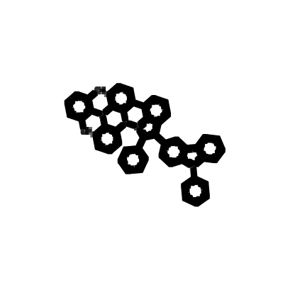 Cc1cccc(C)c1N1c2ccccc2B2c3c(cccc31)-c1cccc3c(-c4ccc5c(c4)c4ccccc4n5-c4ccccc4)c(-c4ccccc4)n2c13